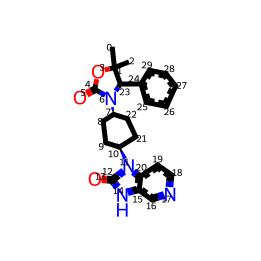 CC1(C)OC(=O)N([C@H]2CC[C@H](n3c(=O)[nH]c4cnccc43)CC2)C1c1ccccc1